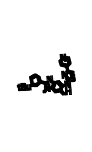 Cc1cc2c(cc1Nc1nc(-c3ccncc3)cs1)nc(-c1cccc(C(C)(C)C)c1)n2C